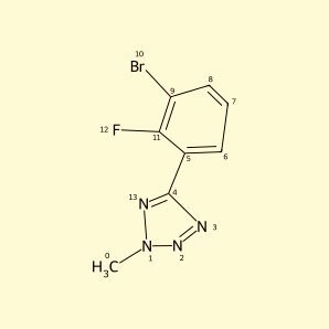 Cn1nnc(-c2cccc(Br)c2F)n1